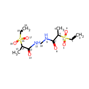 C=CS(=O)(=O)C(C)C(=O)NCNC(=O)C(C)S(=O)(=O)C=C